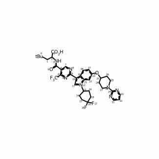 CC(C)(C)CC(NC(=O)c1cnc(-c2cn(C3CCC(F)(F)CC3)c3cc(OC4CCN(c5ncccn5)CC4)ccc23)nc1C(F)(F)F)C(=O)O